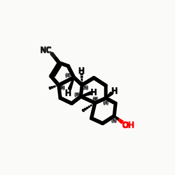 C[C@@]12CC[C@H](O)C[C@H]1CC[C@H]1[C@H]2CC[C@@]2(C)C=C(C#N)C[C@H]12